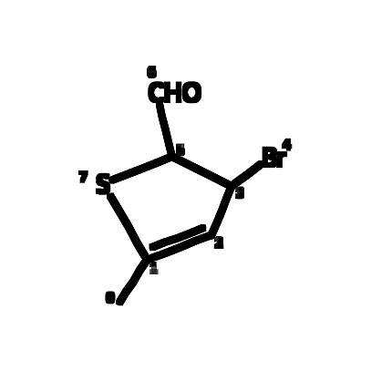 CC1=CC(Br)C(C=O)S1